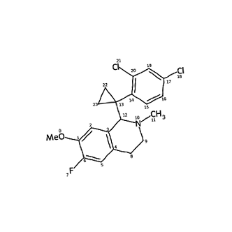 COc1cc2c(cc1F)CCN(C)C2C1(c2ccc(Cl)cc2Cl)CC1